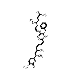 CC1=CC[C@@H]([C@@H](C)/C=C(C)/C=C\C=C/C(=O)N[C@@H](Cc2ccccc2)C(=O)N/C=C\C[C@H](C/C=C(\C)Cl)OC(C)C)OC1=O